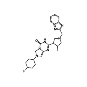 CC1CN(Cc2nc3ccccn3n2)CC1C1=NC2=CN(C3CCC(F)CC3)CN2C(=O)N1